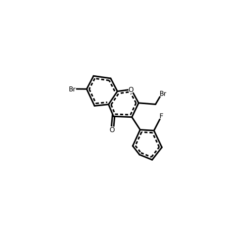 O=c1c(-c2ccccc2F)c(CBr)oc2ccc(Br)cc12